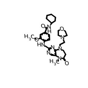 COc1cc(C(=O)NC2CCCCC2)ccc1Nc1ncc2c(n1)N(CCN1CCOCC1)CCC(=O)N2C